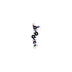 Cc1c(-c2nc3cc(C=O)cc(C#N)c3o2)cccc1-c1cccc(-c2nc3c(s2)CN(C(=O)CCl)C3)c1C